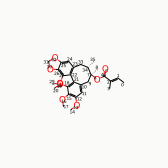 C/C=C(\C)C(=O)O[C@@]1(C)Cc2cc(OC)c(OC)c(OC)c2-c2c(cc3c(c2OC)OCO3)C[C@@H]1C